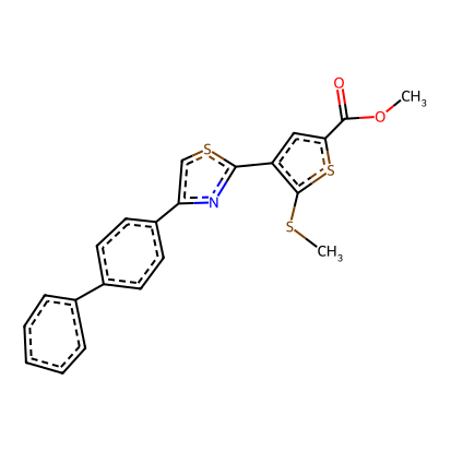 COC(=O)c1cc(-c2nc(-c3ccc(-c4ccccc4)cc3)cs2)c(SC)s1